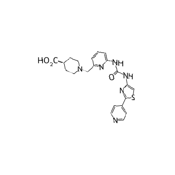 O=C(Nc1cccc(CN2CCC(C(=O)O)CC2)n1)Nc1csc(-c2ccncc2)n1